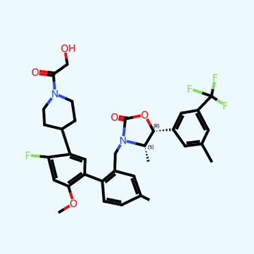 COc1cc(F)c(C2CCN(C(=O)CO)CC2)cc1-c1ccc(C)cc1CN1C(=O)O[C@H](c2cc(C)cc(C(F)(F)F)c2)[C@@H]1C